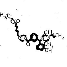 C=CCN1C[C@@H](C)N(C(c2cccc(O)c2)c2cccc(C(=O)N3CCN(CCCCCC(=O)OCC)CC3)c2)C[C@H]1C